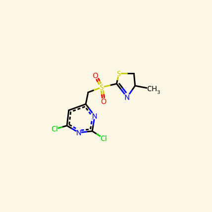 CC1CSC(S(=O)(=O)Cc2cc(Cl)nc(Cl)n2)=N1